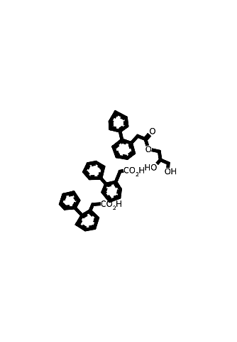 O=C(Cc1ccccc1-c1ccccc1)OCC(O)CO.O=C(O)Cc1ccccc1-c1ccccc1.O=C(O)Cc1ccccc1-c1ccccc1